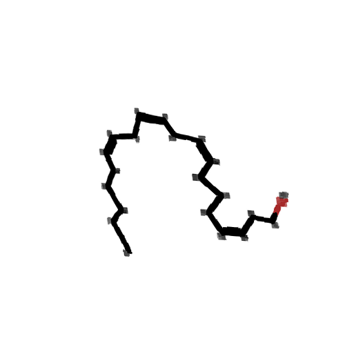 CCCCC/C=C\C/C=C\C/C=C\CCC/C=C\CCBr